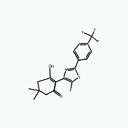 Cc1sc(-c2ccc(C(F)(F)F)cc2)nc1C1=C(O)CC(C)(C)CC1=O